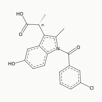 Cc1c([C@@H](C)C(=O)O)c2cc(O)ccc2n1C(=O)c1cccc(Cl)c1